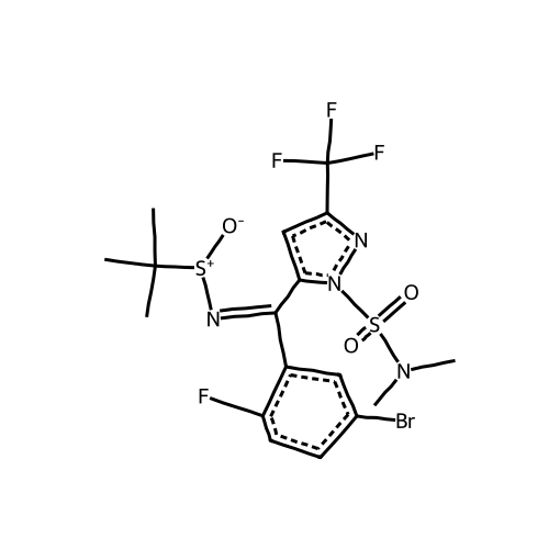 CN(C)S(=O)(=O)n1nc(C(F)(F)F)cc1C(=N[S+]([O-])C(C)(C)C)c1cc(Br)ccc1F